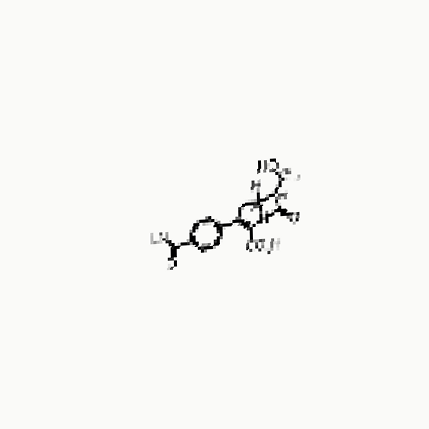 C[C@@H](O)[C@H]1C(=O)N2C(C(=O)O)=C(c3ccc(C(N)=O)cc3)C[C@H]12